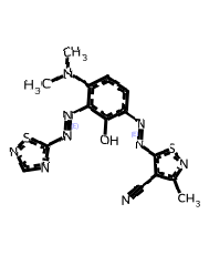 Cc1nsc(/N=N/c2ccc(N(C)C)c(/N=N/c3ncns3)c2O)c1C#N